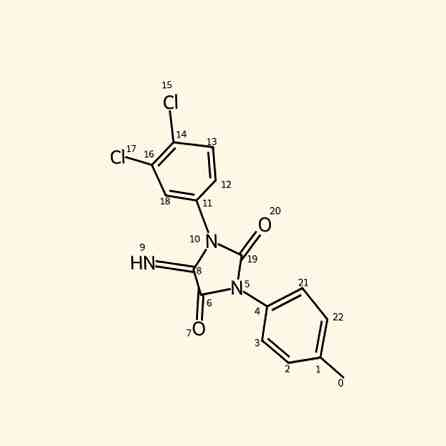 Cc1ccc(N2C(=O)C(=N)N(c3ccc(Cl)c(Cl)c3)C2=O)cc1